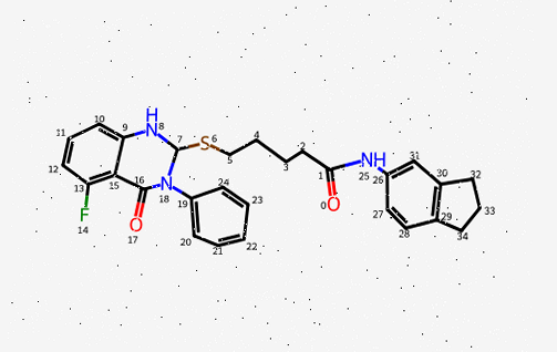 O=C(CCCCSC1Nc2cccc(F)c2C(=O)N1c1ccccc1)Nc1ccc2c(c1)CCC2